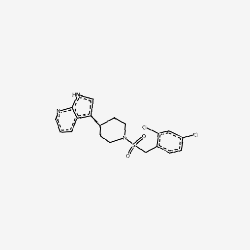 O=S(=O)(Cc1ccc(Cl)cc1Cl)N1CCC(c2c[nH]c3ncccc23)CC1